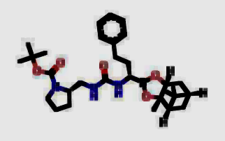 CC(C)(C)OC(=O)N1CCC[C@@H]1CNC(=O)N[C@@H](CCc1ccccc1)B1O[C@@H]2C[C@@H]3C[C@@H](C3(C)C)[C@]2(C)O1